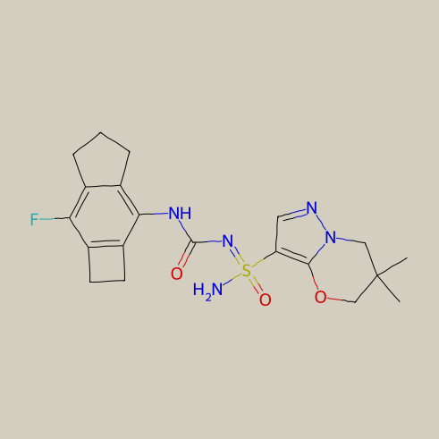 CC1(C)COc2c(S(N)(=O)=NC(=O)Nc3c4c(c(F)c5c3CC5)CCC4)cnn2C1